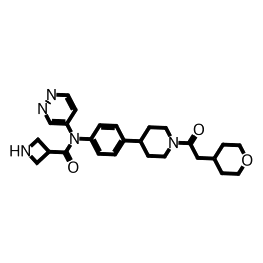 O=C(CC1CCOCC1)N1CCC(c2ccc(N(C(=O)C3CNC3)c3ccnnc3)cc2)CC1